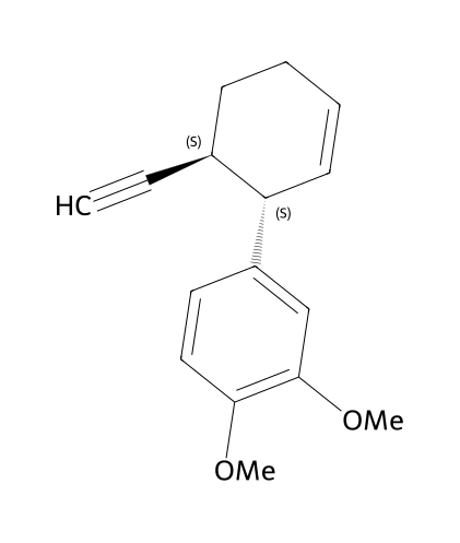 C#C[C@H]1CCC=C[C@@H]1c1ccc(OC)c(OC)c1